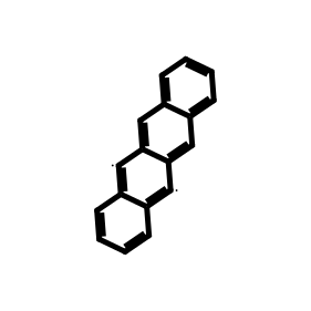 [c]1c2ccccc2[c]c2cc3ccccc3cc12